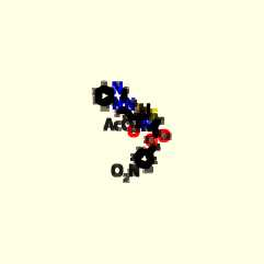 CC(=O)OC(c1cn2c(cnc3ccccc32)n1)[C@]1(Br)C(=O)N2C(C(=O)OCc3ccc([N+](=O)[O-])cc3)=CS[C@H]21